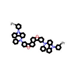 CC(C)c1cccc(-n2c3ccccc3c3c(N(c4ccccc4)c4ccc5oc6ccc7c(ccc8oc9ccc(N(c%10ccccc%10)c%10cccc%11c%10c%10ccccc%10n%11-c%10cccc(C(C)C)c%10)cc9c87)c6c5c4)cccc32)c1